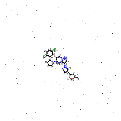 CC1CC(c2cnn(-c3cnn4ccc(N5CCCC5c5cc(F)ccc5F)nc34)c2)CO1